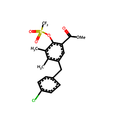 COC(=O)c1cc(Cc2ccc(Cl)cc2)c(C)c(C)c1OS(=O)(=O)C(F)(F)F